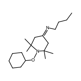 CCCCN=C1CC(C)(C)N(OC2CCCCC2)C(C)(C)C1